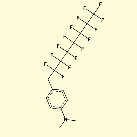 CN(C)c1ccc(CC(F)(F)C(F)(F)C(F)(F)C(F)(F)C(F)(F)C(F)(F)C(F)(F)F)cc1